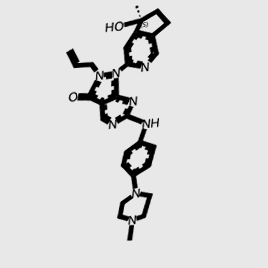 C=CCn1c(=O)c2cnc(Nc3ccc(N4CCN(C)CC4)cc3)nc2n1-c1cc2c(cn1)CC[C@]2(C)O